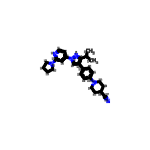 CC(C)c1nn(-c2ccnc(N3CCCC3)c2)cc1-c1ccc(N2CCC(C#N)CC2)cc1